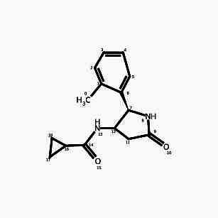 Cc1ccccc1[C@H]1NC(=O)CC1NC(=O)C1CC1